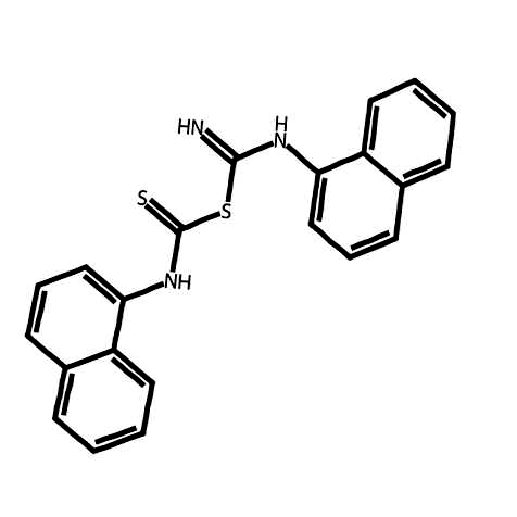 N=C(Nc1cccc2ccccc12)SC(=S)Nc1cccc2ccccc12